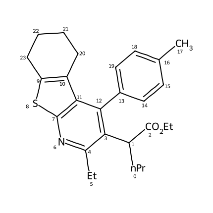 CCCC(C(=O)OCC)c1c(CC)nc2sc3c(c2c1-c1ccc(C)cc1)CCCC3